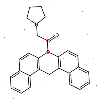 O=COc1ccc2ccccc2c1Cc1c(OCCN2CCCC2)ccc2ccccc12